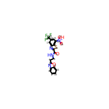 O=C(NCCc1nc2ccccc2o1)c1nc2cc(C(F)(F)F)cc([N+](=O)O)c2s1